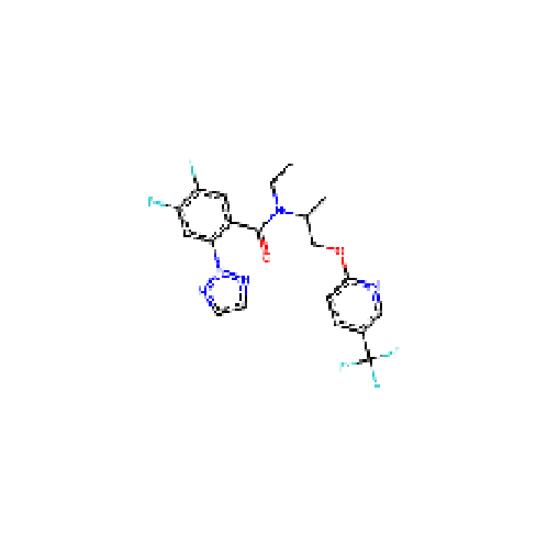 CCN(C(=O)c1cc(F)c(F)cc1-n1nccn1)C(C)COc1ccc(C(F)(F)F)cn1